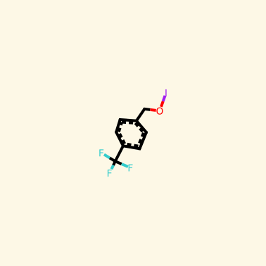 FC(F)(F)c1ccc(COI)cc1